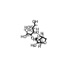 O=C[C@H](O)[C@@H](O[C@@H]1O[C@H]2CO[C@H](C2O)[C@@H]1O)[C@@H](O)[C@H](O)CO